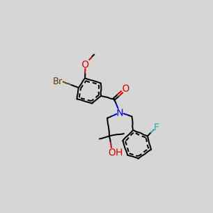 COc1cc(C(=O)N(Cc2ccccc2F)CC(C)(C)O)ccc1Br